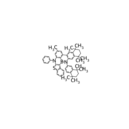 Cc1cc2c3c(c1)N(c1ccccc1)c1sc4ccccc4c1B3N(c1ccc3c(c1)C(C)(C)CCC3(C)C)c1cc3c(cc1-2)C(C)(C)CCC3(C)C